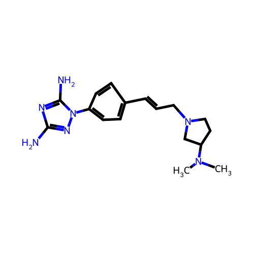 CN(C)C1CCN(CC=Cc2ccc(-n3nc(N)nc3N)cc2)C1